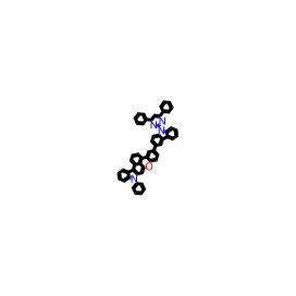 c1ccc(-c2cc(-c3ccccc3)nc(-n3c4ccccc4c4cc(-c5ccc6c(c5)-c5cccc7c5c(cc5c7c7ccccc7n5-c5ccccc5)O6)ccc43)n2)cc1